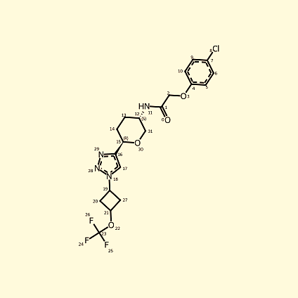 O=C(COc1ccc(Cl)cc1)N[C@H]1CC[C@H](c2cn(C3CC(OC(F)(F)F)C3)nn2)OC1